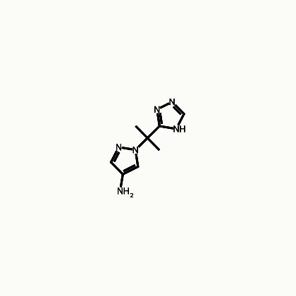 CC(C)(c1nnc[nH]1)n1cc(N)cn1